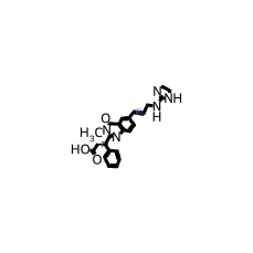 Cn1c([C@H](CC(=O)O)c2ccccc2)nc2ccc(/C=C/CNC3=NCCN3)cc2c1=O